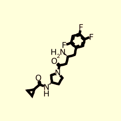 N[C@@H](CC(=O)N1CC[C@H](NC(=O)C2CC2)C1)Cc1cc(F)c(F)cc1F